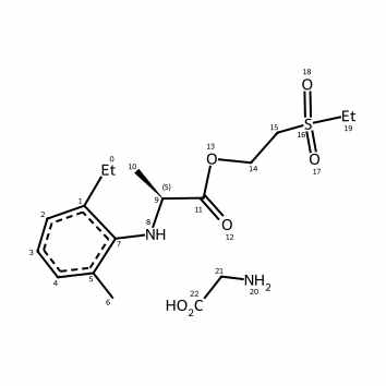 CCc1cccc(C)c1N[C@@H](C)C(=O)OCCS(=O)(=O)CC.NCC(=O)O